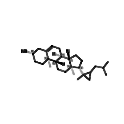 CC(C)CC1CC1(C)[C@H]1CC[C@H]2[C@@H]3CC=C4C[C@@H](O)CC[C@]4(C)[C@H]3CC[C@]12C